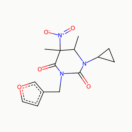 CC1N(C2CC2)C(=O)N(Cc2ccoc2)C(=O)C1(C)[N+](=O)[O-]